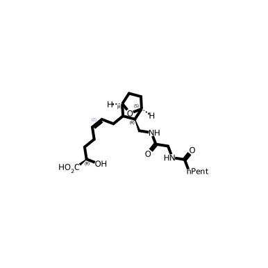 CCCCCC(=O)NCC(=O)NC[C@H]1C(C/C=C\CC[C@@H](O)C(=O)O)[C@H]2CC[C@@H]1O2